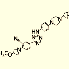 COC1CN(c2ccc(-c3ncnc(Nc4ccc(N5CCN(C6COC6)CC5)cc4)n3)cc2C#N)C1